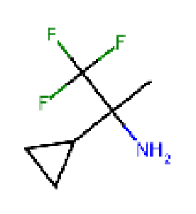 CC(N)(C1CC1)C(F)(F)F